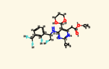 COC(=O)Cc1nc(C)nc(NC(CF)c2cccc(C(F)F)c2F)c1C1OCCCO1